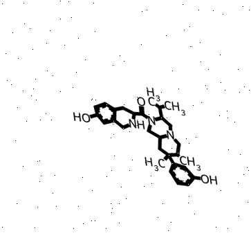 CC(C)C1CN2CC(C)C(C)(c3cccc(O)c3)CC2CN1C(=O)C1Cc2ccc(O)cc2CN1